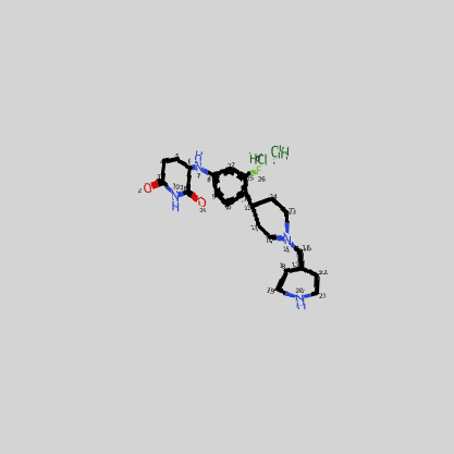 Cl.Cl.O=C1CCC(Nc2ccc(C3CCN(CC4CCNCC4)CC3)c(F)c2)C(=O)N1